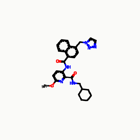 CCCOc1ccc(NC(=O)c2ccc(Cn3ccnn3)c3ccccc23)c(C(=O)NCC2CCCCC2)n1